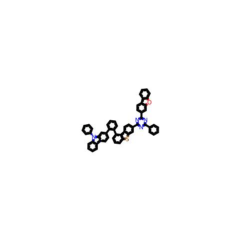 c1ccc(-c2nc(-c3ccc4c(c3)oc3ccccc34)nc(-c3ccc4c(c3)sc3cccc(-c5ccccc5-c5ccc6c7ccccc7n(-c7ccccc7)c6c5)c34)n2)cc1